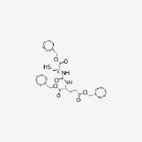 O=C(NC(CCC(=O)OCc1ccccc1)C(=O)OCc1ccccc1)N[C@@H](CS)C(=O)OCc1ccccc1